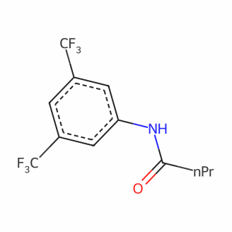 CCCC(=O)Nc1cc(C(F)(F)F)cc(C(F)(F)F)c1